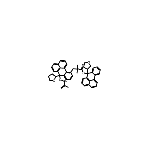 C=C(C)C(=O)OC1(C2CCCO2)c2cccc(CC(C)(C)C(=O)OC3(C4CCOC4)c4ccccc4-c4cccc5cccc3c45)c2-c2cccc3cccc1c23